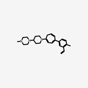 C=Cc1cc(C2=CC=C(N3CCC(N4CCN(C)CC4)CC3)CC=C2)ccc1C